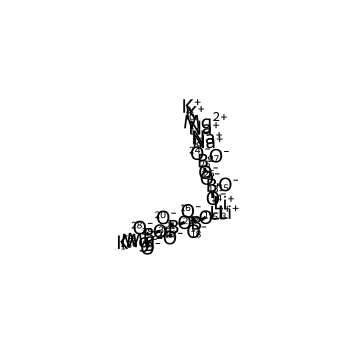 [K+].[K+].[K+].[Li+].[Li+].[Li+].[Mg+2].[Mg+2].[Mg+2].[Na+].[Na+].[Na+].[O-]B([O-])[O-].[O-]B([O-])[O-].[O-]B([O-])[O-].[O-]B([O-])[O-].[O-]B([O-])[O-]